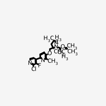 Cc1nc(-c2ccnc(Cl)c2F)ccc1OC[C@](C)(CC(C)C)NC(=O)OC(C)(C)C